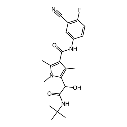 Cc1c(C(=O)Nc2ccc(F)c(C#N)c2)c(C)n(C)c1C(O)C(=O)NC(C)(C)C